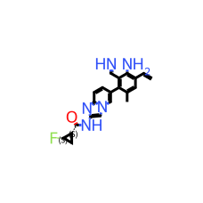 C=Cc1cc(C)c(-c2ccc3nc(NC(=O)[C@@H]4C[C@@H]4F)cn3c2)c(C=N)c1N